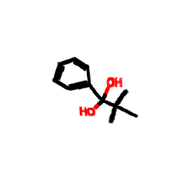 CC(C)(C)C(O)(O)c1ccccc1